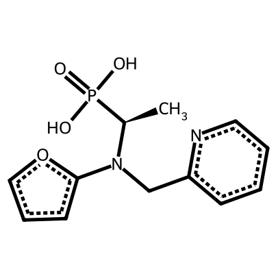 C[C@@H](N(Cc1ccccn1)c1ccco1)P(=O)(O)O